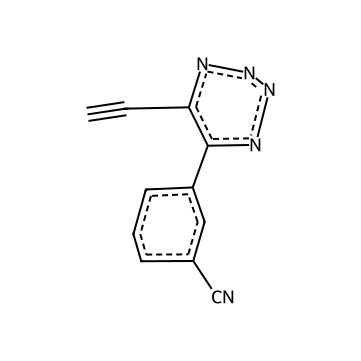 C#Cc1nnnnc1-c1cccc(C#N)c1